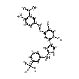 O=C(O)c1cc(/N=N/c2cc(-c3csc(Nc4cccc(C(F)(F)F)c4)n3)c(F)cc2F)ccc1O